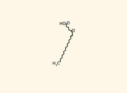 CCCCCCCCCCCCCCC=CC1OC1CCCC(=O)O